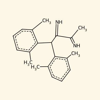 CC(=N)C(=N)C(c1c(C)cccc1C)c1c(C)cccc1C